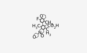 Cc1c(-c2c(C)c3c(c(C)c2CC(=O)O)CC(=O)N(C2CCOCC2)C3)cc(F)c2c1CCCO2